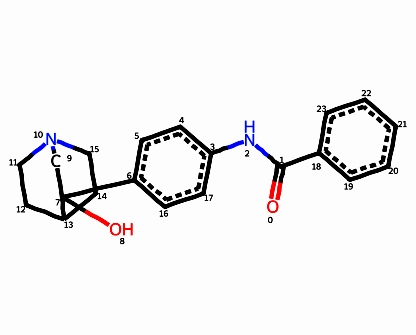 O=C(Nc1ccc(C2(O)CN3CCC2CC3)cc1)c1ccccc1